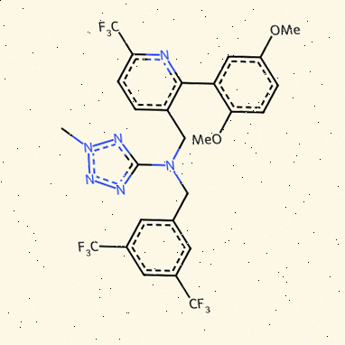 COc1ccc(OC)c(-c2nc(C(F)(F)F)ccc2CN(Cc2cc(C(F)(F)F)cc(C(F)(F)F)c2)c2nnn(C)n2)c1